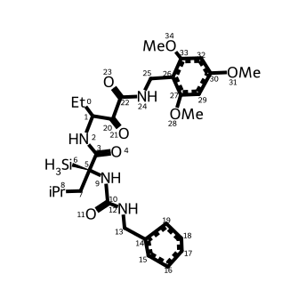 CCC(NC(=O)[C@@]([SiH3])(CC(C)C)NC(=O)NCc1ccccc1)C(=O)C(=O)NCc1c(OC)cc(OC)cc1OC